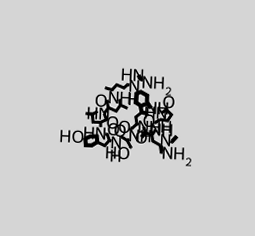 C=CN/C(=C\N)CC(NC(=O)C1CCC(=O)N1)C(=O)NC(Cc1c[nH]c2ccccc12)C(=O)NC(CO)C(=O)NC(Cc1ccc(O)cc1)C(=O)NC(CC(C)C)C(=O)NC(CC(C)C)C(=O)NC(C)CCCNC(=N)N